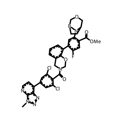 COC(=O)c1cc(F)c(-c2cccc3c2OCN(C(=O)c2c(Cl)cc(-c4ccnc5c4nnn5C)cc2Cl)C3)cc1N1B2CCC1COC2